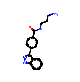 NCCCNC(=O)c1ccc(-c2n[nH]c3ccccc23)cc1